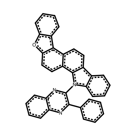 c1ccc(-c2nc3ccccc3nc2-n2c3ccccc3c3ccc4c(ccc5oc6ccccc6c54)c32)cc1